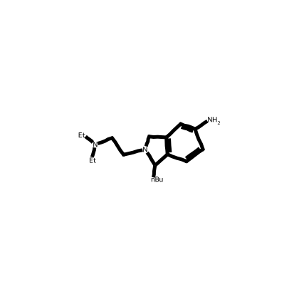 CCCCC1c2ccc(N)cc2CN1CCN(CC)CC